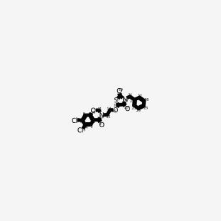 O=C1c2cc(Cl)c(Cl)cc2OCN1CCOC1SC(=O)N(Cc2ccccc2)C1=O